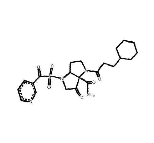 NC(=O)C12C(=O)CN(S(=O)(=O)C(=O)c3cccnc3)C1CCN2C(=O)[CH]CC1CCCCC1